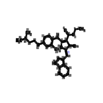 CCOC(=O)C1=C(Nc2ccc(OCCN(C)C)cc2C)O/C(=C\c2c[nH]c3ncccc23)C1=O